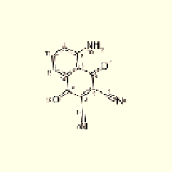 N#CC1=C(C#N)C(=O)c2c(N)cccc2C1=O